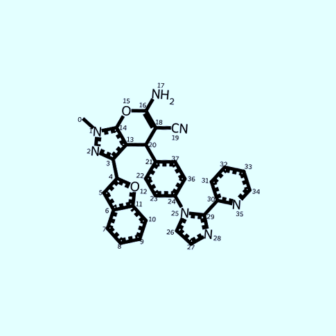 Cn1nc(-c2cc3ccccc3o2)c2c1OC(N)=C(C#N)C2c1ccc(-n2ccnc2-c2ccccn2)cc1